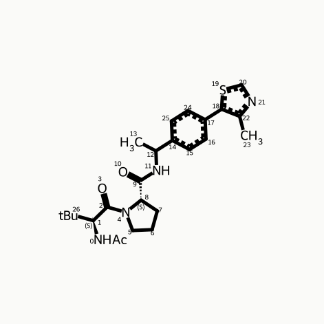 CC(=O)N[C@H](C(=O)N1CCC[C@H]1C(=O)NC(C)c1ccc(-c2scnc2C)cc1)C(C)(C)C